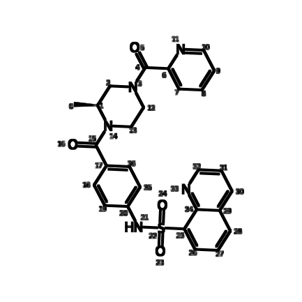 C[C@H]1CN(C(=O)c2ccccn2)CCN1C(=O)c1ccc(NS(=O)(=O)c2cccc3cccnc23)cc1